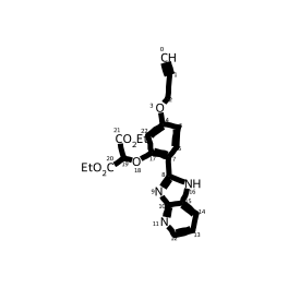 C#CCOc1ccc(-c2nc3ncccc3[nH]2)c(OC(C(=O)OCC)C(=O)OCC)c1